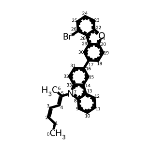 CC/C=C\C=C(/C)n1c2ccccc2c2cc(-c3ccc4oc5cccc(Br)c5c4c3)ccc21